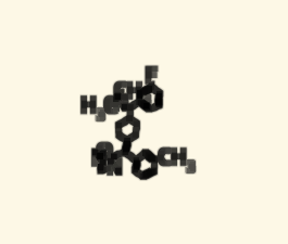 Cc1cccc(C(=C2CCC(C(c3cccc(F)c3)N(C)C)CC2)c2ncno2)c1